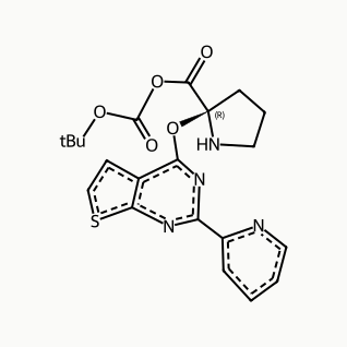 CC(C)(C)OC(=O)OC(=O)[C@]1(Oc2nc(-c3ccccn3)nc3sccc23)CCCN1